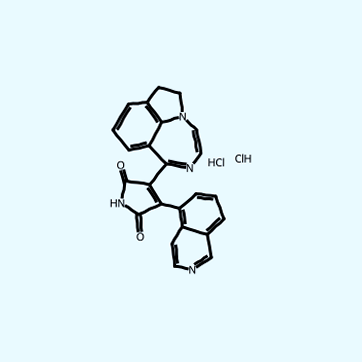 Cl.Cl.O=C1NC(=O)C(c2cccc3cnccc23)=C1C1=NC=CN2CCc3cccc1c32